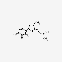 C[C@@H]1C[C@H](n2ccc(=O)[nH]c2=O)O[C@@H]1COP(C)O